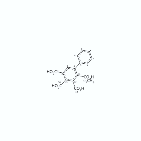 C.O=C(O)c1cc(-c2ccccc2)c(C(=O)O)c(C(=O)O)c1C(=O)O